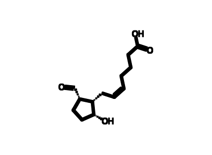 O=C[C@H]1CC[C@@H](O)[C@H]1C/C=C\CCCC(=O)O